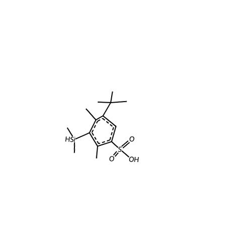 Cc1c(C(C)(C)C)cc(S(=O)(=O)O)c(C)c1[SiH](C)C